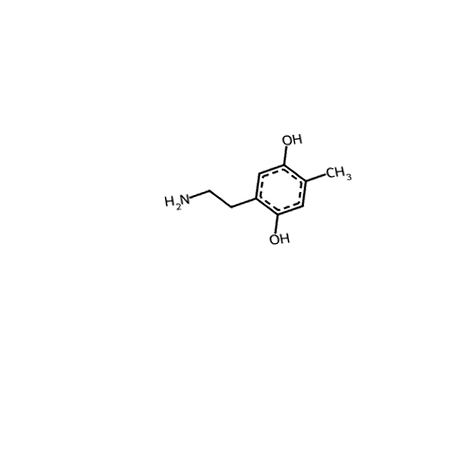 Cc1cc(O)c(CCN)cc1O